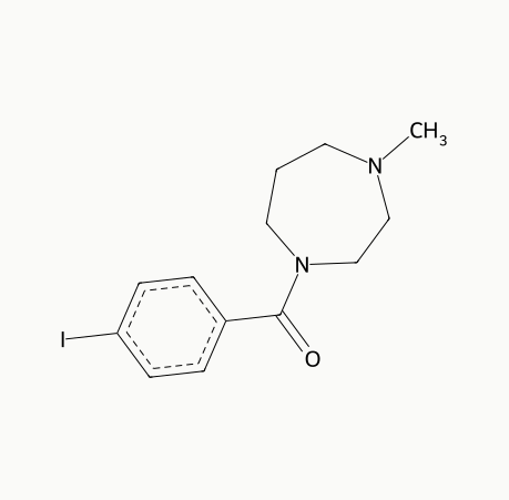 CN1CCCN(C(=O)c2ccc(I)cc2)CC1